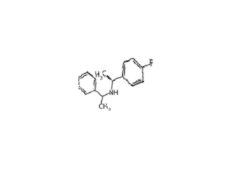 CC(N[C@@H](C)c1ccc(F)cc1)c1ccccc1